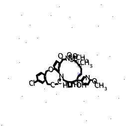 COc1ccc([C@]2(O)/C=C/C[C@H](C)[C@@H](C)S(=O)(=O)NC(=O)c3ccc4c(c3)N(CCCCc3cc(Cl)ccc3CO4)C[C@@H]3CC[C@H]32)cn1